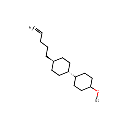 C=CCCC[C@H]1CC[C@H](C2CCC(OCC)CC2)CC1